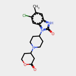 Cc1cc2[nH]c(=O)n(C3CCN(C4CCOC(=O)C4)CC3)c2cc1Cl